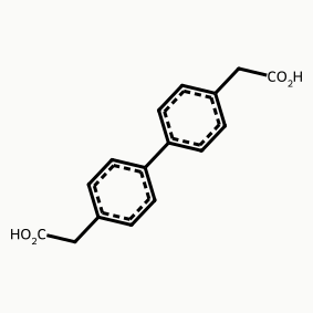 O=C(O)Cc1ccc(-c2ccc(CC(=O)O)cc2)cc1